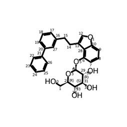 OC[C@H]1O[C@@H](Oc2cccc3occ(CCc4cccc(-c5ccccc5)c4)c23)[C@H](O)[C@@H](O)[C@@H]1O